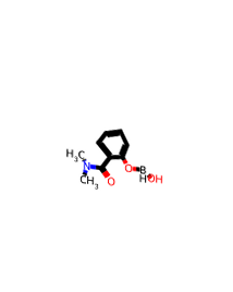 CN(C)C(=O)c1ccccc1OBO